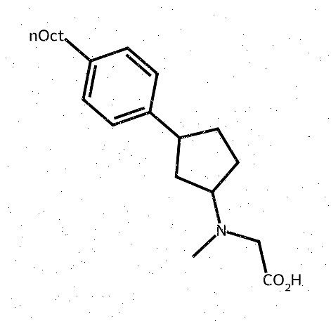 CCCCCCCCc1ccc(C2CCC(N(C)CC(=O)O)C2)cc1